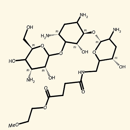 COCCOC(=O)CCC(=O)NCC1O[C@H](O[C@@H]2C(N)C[C@@H](N)C(OC3O[C@H](CO)C(O)[C@@H](N)[C@H]3O)[C@H]2O)C(N)C[C@@H]1O